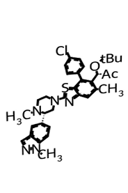 CC(=O)[C@@H](OC(C)(C)C)c1c(C)cc2nc(N3CCN(C)[C@@H](c4ccc5c(cnn5C)c4)C3)sc2c1-c1ccc(Cl)cc1